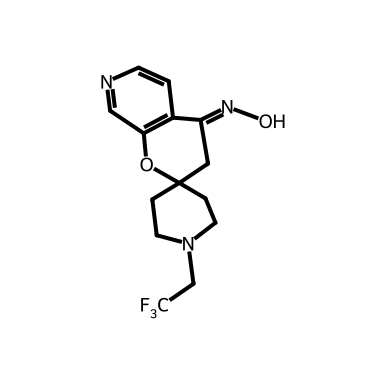 O/N=C1\CC2(CCN(CC(F)(F)F)CC2)Oc2cnccc21